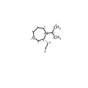 CC(C)N1CCCOC[C@H]1CF